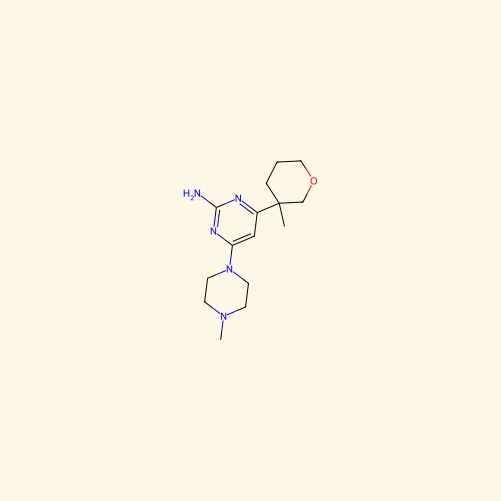 CN1CCN(c2cc(C3(C)CCCOC3)nc(N)n2)CC1